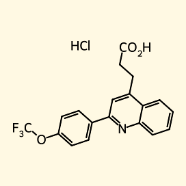 Cl.O=C(O)CCc1cc(-c2ccc(OC(F)(F)F)cc2)nc2ccccc12